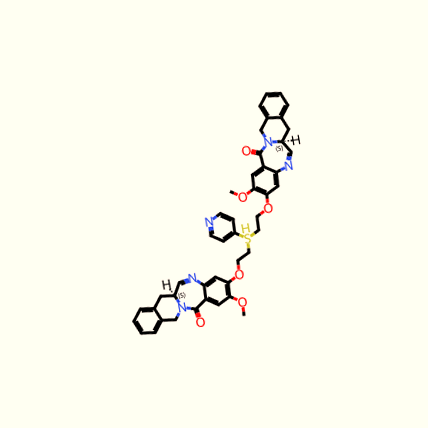 COc1cc2c(cc1OCC[SH](CCOc1cc3c(cc1OC)C(=O)N1Cc4ccccc4C[C@H]1C=N3)c1ccncc1)N=C[C@@H]1Cc3ccccc3CN1C2=O